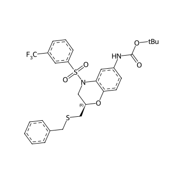 CC(C)(C)OC(=O)Nc1ccc2c(c1)N(S(=O)(=O)c1cccc(C(F)(F)F)c1)C[C@H](CSCc1ccccc1)O2